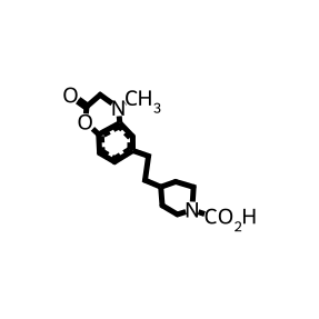 CN1CC(=O)Oc2ccc(CCC3CCN(C(=O)O)CC3)cc21